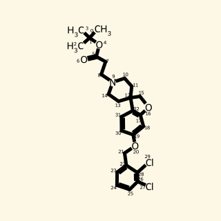 CC(C)(C)OC(=O)CCN1CCC2(CC1)COc1cc(OCc3cccc(Cl)c3Cl)ccc12